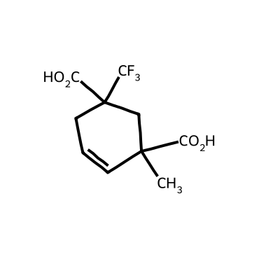 CC1(C(=O)O)C=CCC(C(=O)O)(C(F)(F)F)C1